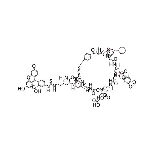 NC(=O)[C@H](CCCCNC(=S)Nc1ccc(-c2c3ccc(=O)cc-3oc3cc(O)ccc23)c(C(=O)O)c1)NC(=O)CN1C[C@H](Cc2ccccc2)NC(=O)CN(C(=O)CCC(=O)O)C[C@H](CCC(=O)O)NC(=O)CN(C(=O)Cc2ccc3c(c2)OCO3)C[C@H](CCC(=O)O)NC(=O)CN(C(=O)CCC2CCCCC2)C[C@H](Cc2ccccc2)NC(=O)c2ccc(cc2)CSCCC1=O